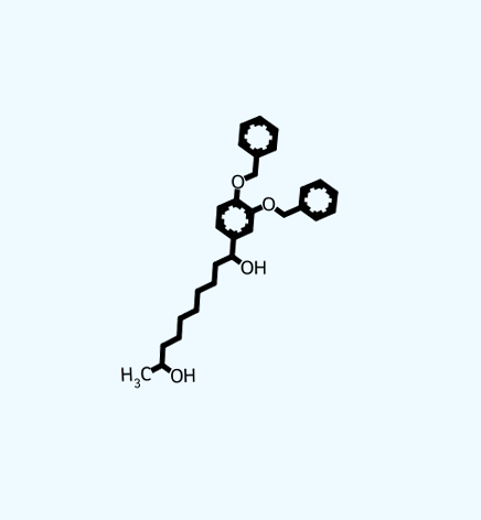 CC(O)CCCCCCCC(O)c1ccc(OCc2ccccc2)c(OCc2ccccc2)c1